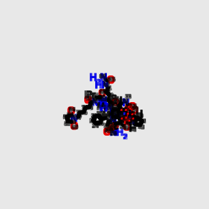 CC[C@H](C)[C@@H]([C@@H](CC(=O)N1CCC[C@H]1[C@H](OC)[C@@H](C)C(=O)N[C@@H](Cc1ccccc1)CS(N)(=O)=O)OC)N(C)C(=O)[C@@H](NC(=O)C1[C@H]2CC[C@H](C2)N1C(=O)OCc1ccc(NC(=O)[C@H](CCCNC(N)=O)NC(=O)[C@@H](NC(=O)CCCCCN2C(=O)C=CC2=O)C(C)C)cc1)C(C)C